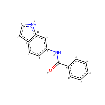 O=C(Nc1ccc2cc[nH]c2c1)c1ccccc1